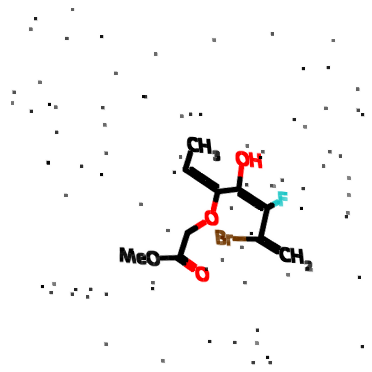 C=C(Br)/C(F)=C(O)\C(=C/C)OCC(=O)OC